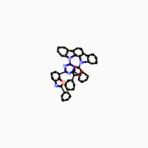 c1ccc(-c2ccc(-n3c4ccccc4c4ccc5c6ccccc6n(-c6nc(-c7ccccc7)nc(-c7cccc8nc(-c9ccccc9)oc78)n6)c5c43)cc2)cc1